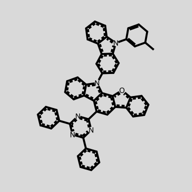 CC1C=C(n2c3ccccc3c3cc(-n4c5ccccc5c5c(-c6nc(-c7ccccc7)nc(-c7ccccc7)n6)cc6c7ccccc7oc6c54)ccc32)C=CC1